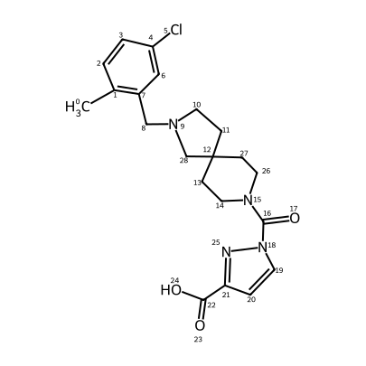 Cc1ccc(Cl)cc1CN1CCC2(CCN(C(=O)n3ccc(C(=O)O)n3)CC2)C1